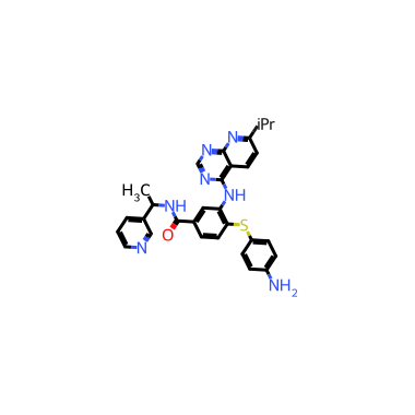 CC(C)c1ccc2c(Nc3cc(C(=O)NC(C)c4cccnc4)ccc3Sc3ccc(N)cc3)ncnc2n1